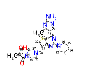 Cc1nc(N)ncc1-c1nc(N2CCCCC2)nc2c(CN3CCN(C(=O)[C@H](C)O)CC3)csc12